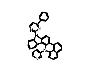 c1ccc(-c2ccnc(-n3c4ccccc4c4c5c(ccc43)-c3cccc4cccc(c34)N5c3cccnc3)n2)cc1